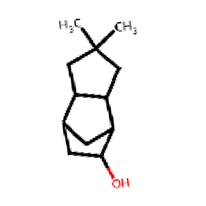 CC1(C)CC2C3CC(O)C(C3)C2C1